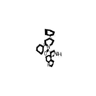 O=C([C@@H]1CNC[C@]12CCCc1ncccc12)N1CC[C@@H](c2ccccc2)C[C@H]1C1CCCCC1